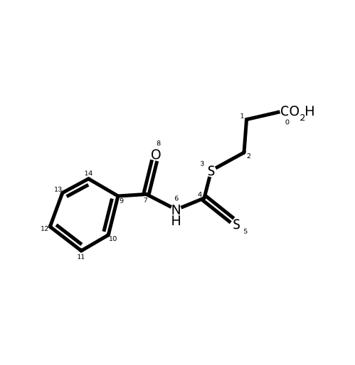 O=C(O)CCSC(=S)NC(=O)c1ccccc1